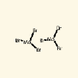 [Br][Mo]([Br])[Br].[Br][Mo]([Br])[Br]